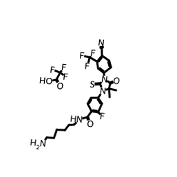 CC1(C)C(=O)N(c2ccc(C#N)c(C(F)(F)F)c2)C(=S)N1c1ccc(C(=O)NCCCCCCN)c(F)c1.O=C(O)C(F)(F)F